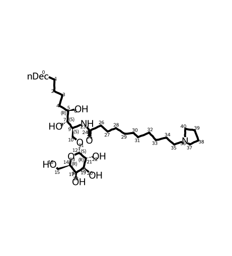 CCCCCCCCCCCCCC[C@@H](O)[C@@H](O)[C@H](CO[C@H]1O[C@H](CO)[C@H](O)[C@H](O)[C@H]1O)NC(=O)CCCCCCCCCCN1CCCC1